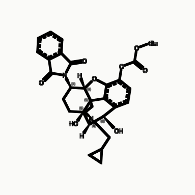 CC(C)(C)OC(=O)Oc1ccc2c3c1O[C@H]1[C@H](N4C(=O)c5ccccc5C4=O)CC[C@@]4(O)[C@@H]([C@@H]2O)N(CC2CC2)CC[C@]314